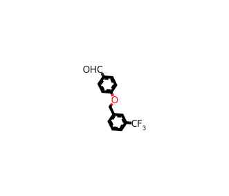 O=Cc1ccc(OCc2cccc(C(F)(F)F)c2)cc1